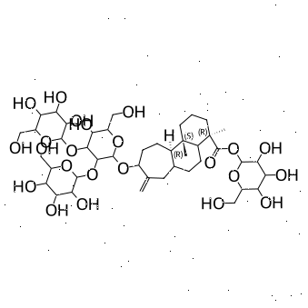 C=C1CC2CCC3[C@](C)(C(=O)OC4OC(CO)C(O)C(O)C4O)CCC[C@@]3(C)[C@@H]2CCC1OC1OC(CO)C(O)C(OC2OC(CO)C(O)C(O)C2O)C1OC1OC(CO)C(O)C(O)C1O